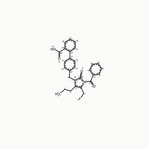 CCCc1c(CF)n(C(=O)c2ccccc2)c(=O)n1Cc1ccc(-c2ccccc2C(=O)O)cc1